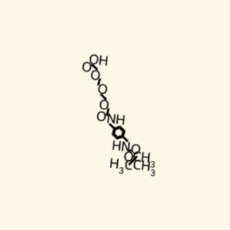 CC(C)(C)OC(=O)NCc1ccc(CNC(=O)COCCOCCOCC(=O)O)cc1